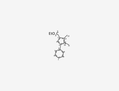 CCOC(=O)c1cc(-c2ccccc2)n(C)c1C